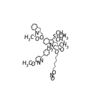 COc1ccc(-c2ccc(Cn3c(CC(C)(C)C(=O)OCCCCCCON=O)c(SC(C)(C)C)c4cc(OC[C@@H]5Cc6ccccc6N5C(C)=O)ccc43)cc2)nn1